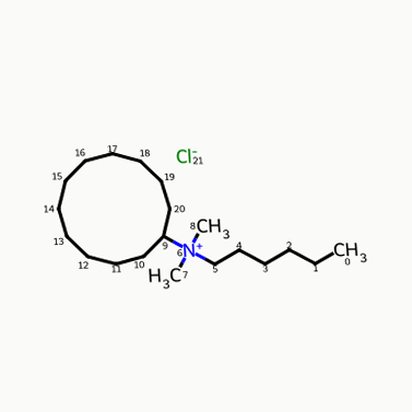 CCCCCC[N+](C)(C)C1CCCCCCCCCCC1.[Cl-]